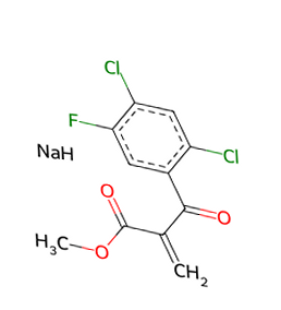 C=C(C(=O)OC)C(=O)c1cc(F)c(Cl)cc1Cl.[NaH]